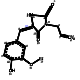 C=CCN1C(=O)N/C(=C/c2ccc(O)c(OCC)c2)C1=O